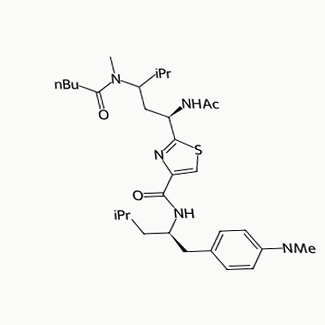 CCCCC(=O)N(C)C(C[C@@H](NC(C)=O)c1nc(C(=O)N[C@@H](Cc2ccc(NC)cc2)CC(C)C)cs1)C(C)C